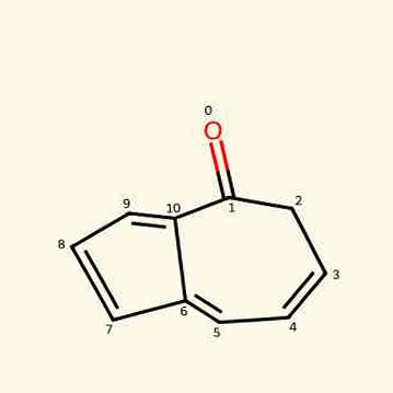 O=C1CC=CC=C2C=CC=C12